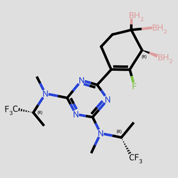 B[C@H]1C(F)=C(c2nc(N(C)[C@H](C)C(F)(F)F)nc(N(C)[C@H](C)C(F)(F)F)n2)CCC1(B)B